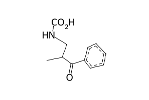 CC(CNC(=O)O)C(=O)c1ccccc1